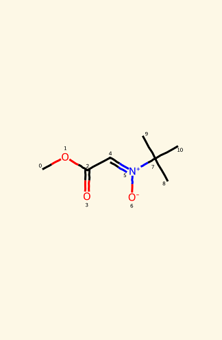 COC(=O)/C=[N+](\[O-])C(C)(C)C